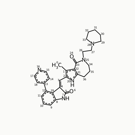 Cc1c(C=C2C(=O)Nc3cccc(-c4ccncc4)c32)[nH]c2c1C(=O)N(CCN1CCCCC1)CCC2